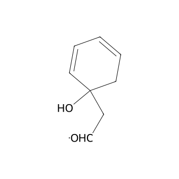 O=[C]CC1(O)C=CC=CC1